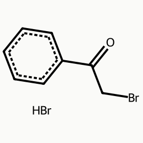 Br.O=C(CBr)c1ccccc1